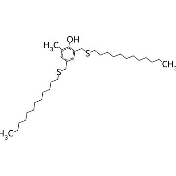 CCCCCCCCCCCCSCc1cc(C)c(O)c(CSCCCCCCCCCCCC)c1